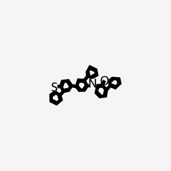 c1ccc2c(c1)oc1c(-n3c4ccccc4c4cc(-c5ccc6sc7ccccc7c6c5)ccc43)cccc12